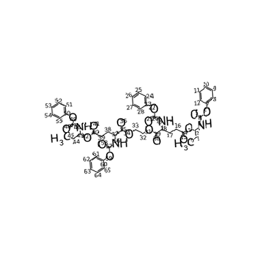 CCC(NC(=O)Oc1ccccc1)OC(=O)CCC(NC(=O)Oc1ccccc1)C(=O)OCCOC(=O)C(CCC(=O)OC(CC)NC(=O)Oc1ccccc1)NC(=O)Oc1ccccc1